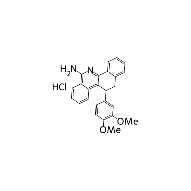 COc1ccc(C2Cc3ccccc3-c3nc(N)c4ccccc4c32)cc1OC.Cl